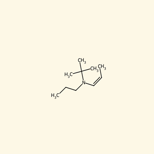 C/C=C\N(CCC)C(C)(C)C